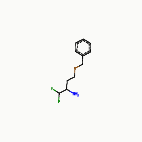 NC(CCSCc1ccccc1)C(F)F